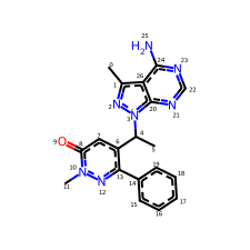 Cc1nn(C(C)c2cc(=O)n(C)nc2-c2ccccc2)c2ncnc(N)c12